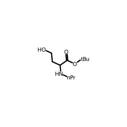 CCCNC(CCO)C(=O)OC(C)(C)C